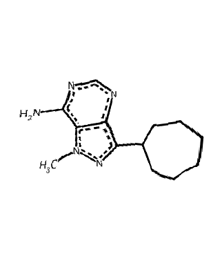 Cn1nc(C2CCCCCC2)c2ncnc(N)c21